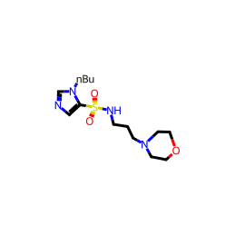 CCCCn1cncc1S(=O)(=O)NCCCN1CCOCC1